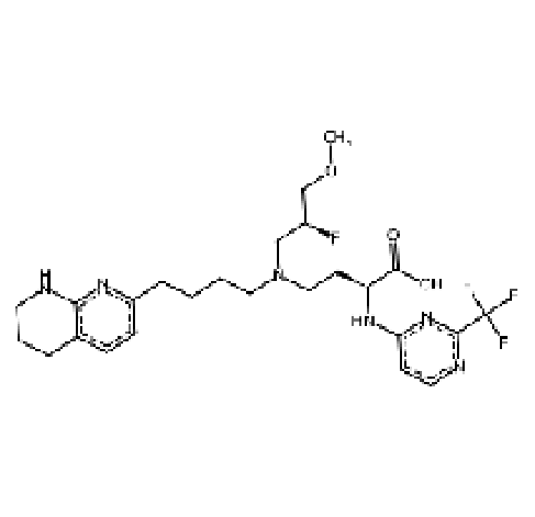 COC[C@@H](F)CN(CCCCc1ccc2c(n1)NCCC2)CC[C@H](Nc1ccnc(C(F)(F)F)n1)C(=O)O